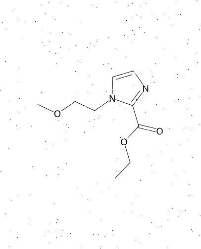 CCOC(=O)c1nccn1CCOC